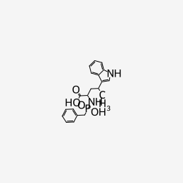 CC(CC(NP(=O)(O)Cc1ccccc1)C(=O)O)c1c[nH]c2ccccc12